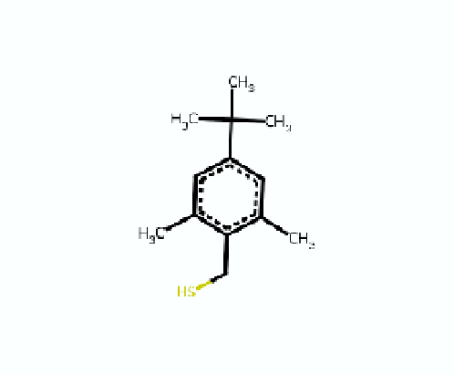 Cc1cc(C(C)(C)C)cc(C)c1CS